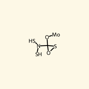 SN(S)C1([O][Mo])OS1